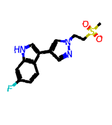 CS(=O)(=O)CCn1cc(-c2c[nH]c3cc(F)ccc23)cn1